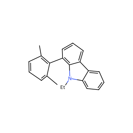 CCn1c2ccccc2c2cccc(-c3c(C)cccc3C)c21